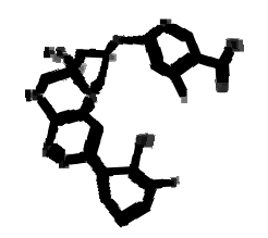 C[C@]12CNc3nnc(-c4cccc(F)c4O)cc3N1C[C@H](Oc1cc(I)c(C(=O)O)cn1)C2